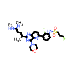 C=N/C(=C\C=C(/C)c1nc(N2CCOCC2)c2nc(-c3cccc(NS(=O)(=O)CCCF)c3F)ccc2n1)NCC